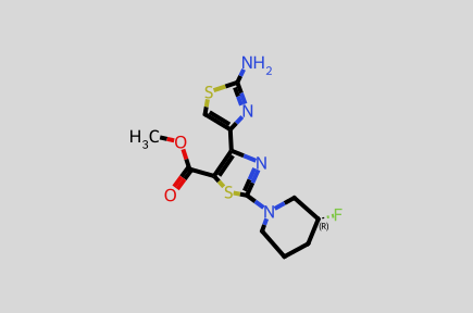 COC(=O)c1sc(N2CCC[C@@H](F)C2)nc1-c1csc(N)n1